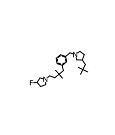 CC(C)(C)CC1CCN(Cc2cccc(CC(C)(C)CCN3CCC(F)C3)c2)C1